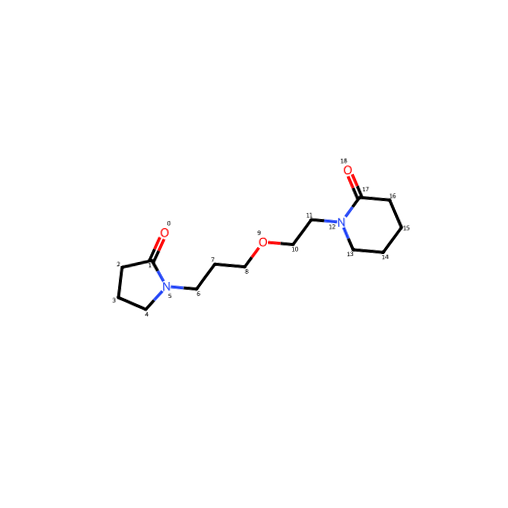 O=C1CCCN1CCCOCCN1CCCCC1=O